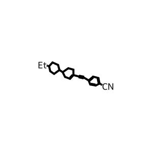 CCC1CCC(C2CC=C(C#Cc3ccc(C#N)cc3)CC2)CC1